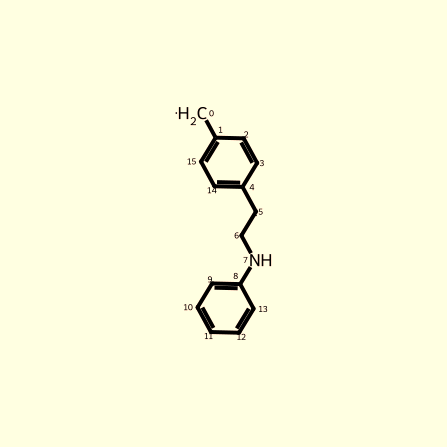 [CH2]c1ccc([CH]CNc2ccccc2)cc1